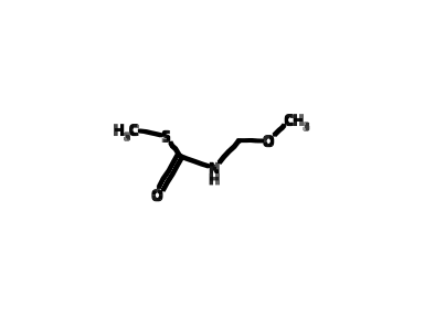 COCNC(=O)SC